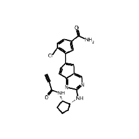 C#CC(=O)N[C@H]1CCC[C@H]1Nc1ncc2cc(-c3cc(C(N)=O)ccc3Cl)ccc2n1